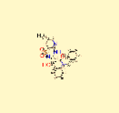 Cc1cnc2c(c1)S(=O)(=O)N=C(c1c(O)c3ccccc3n(Cc3ccccc3)c1=O)N2